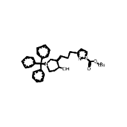 CC(C)(C)OC(=O)n1ccc(CCC=C2CN(C(c3ccccc3)(c3ccccc3)c3ccccc3)CCC2O)n1